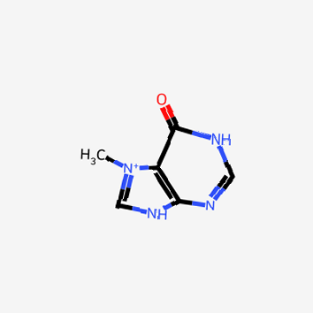 C[n+]1c[nH]c2nc[nH]c(=O)c21